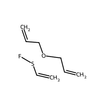 C=CCOCC=C.C=CSF